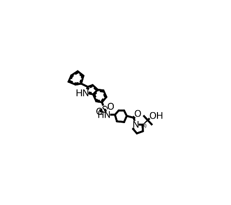 CC(C)(O)[C@H]1CCCN1C(=O)C1CCC(NS(=O)(=O)c2ccc3cc(-c4ccccc4)[nH]c3c2)CC1